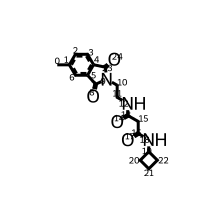 Cc1ccc2c(c1)C(=O)N(CCNC(=O)CC(=O)NC1CCC1)C2=O